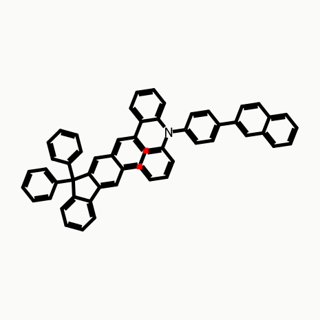 c1ccc(N(c2ccc(-c3ccc4ccccc4c3)cc2)c2ccccc2-c2ccc3cc4c(cc3c2)C(c2ccccc2)(c2ccccc2)c2ccccc2-4)cc1